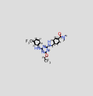 CN(C)C(=O)c1ccc(CNc2nc(Nc3cccc(C(F)(F)F)c3)nc(OCC(F)(F)F)n2)cc1